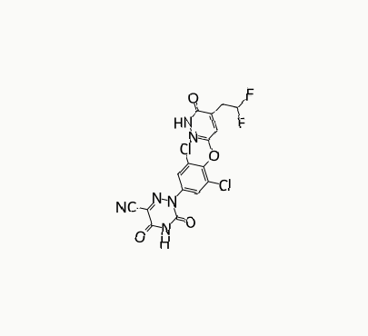 N#Cc1nn(-c2cc(Cl)c(Oc3cc(CC(F)F)c(=O)[nH]n3)c(Cl)c2)c(=O)[nH]c1=O